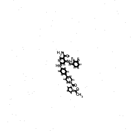 CC(=O)N1CCC[C@@H]1C(=O)N1CCC(c2ccc(Nc3cc(NCc4cccc(F)c4F)c(C(N)=O)cn3)cc2)CC1